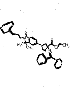 CCOC(=O)C1(N=C(c2ccccc2)c2ccccc2)CCC(c2ccc3c(c2)C(C)(C)N(CCCc2ccccc2)C3=O)C1